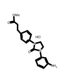 COC(=O)CCc1ccc(N2CCN(c3cccc(N)c3)C2=O)cc1.Cl